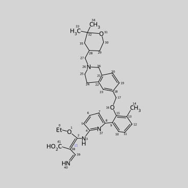 CCO/C(Nc1cccc(-c2cccc(C)c2OCc2ccc3c(c2)CCN(CC2CCOC(C)(C)C2)C3)n1)=C(/C=N)C(=O)O